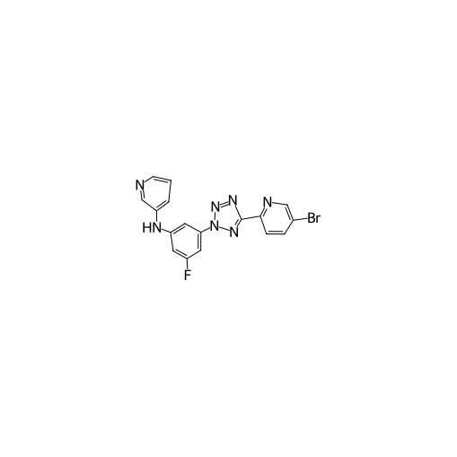 Fc1cc(Nc2cccnc2)cc(-n2nnc(-c3ccc(Br)cn3)n2)c1